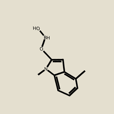 Cc1cccc2c1cc(OBO)n2C